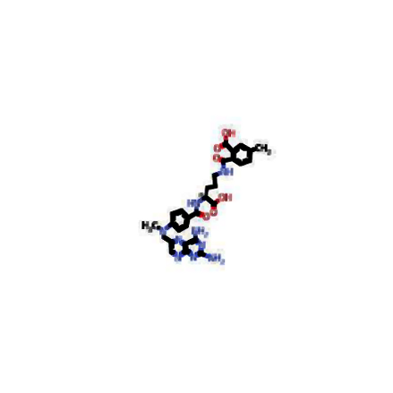 Cc1ccc(C(=O)NCCC[C@H](NC(=O)c2ccc(N(C)Cc3cnc4nc(N)nc(N)c4n3)cc2)C(=O)O)c(C(=O)O)c1